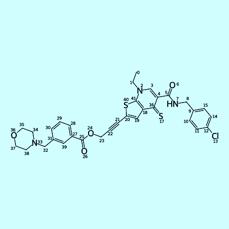 CCn1cc(C(=O)NCc2ccc(Cl)cc2)c(=S)c2cc(C#CCOC(=O)c3cccc(CN4CCOCC4)c3)sc21